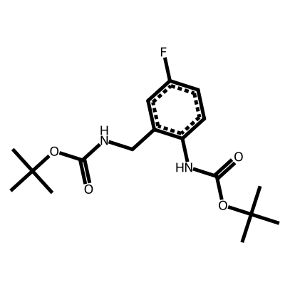 CC(C)(C)OC(=O)NCc1cc(F)ccc1NC(=O)OC(C)(C)C